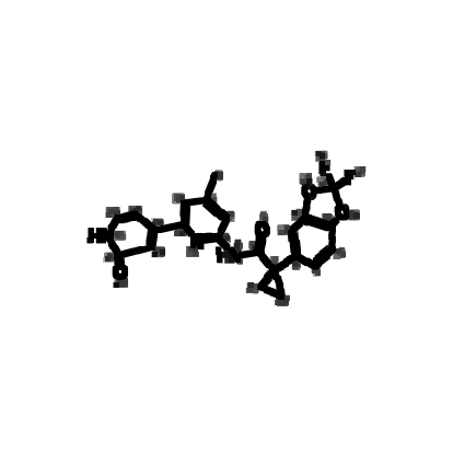 Cc1cc(NC(=O)C2(c3ccc4c(c3)OC(F)(F)O4)CC2)nc(-c2cc[nH]c(=O)c2)c1